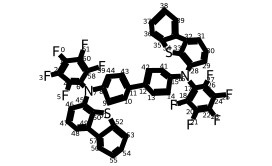 Fc1c(F)c(F)c(N(c2ccc(-c3ccc(N(c4c(F)c(F)c(F)c(F)c4F)c4cccc5c4sc4ccccc45)cc3)cc2)c2cccc3c2sc2ccccc23)c(F)c1F